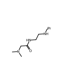 CC(C)NCCNC(=O)CN(C)C